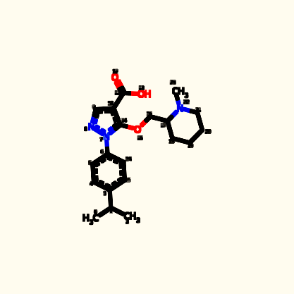 CC(C)c1ccc(-n2ncc(C(=O)O)c2OCC2CCCCN2C)cc1